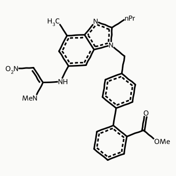 CCCc1nc2c(C)cc(NC(=C[N+](=O)[O-])NC)cc2n1Cc1ccc(-c2ccccc2C(=O)OC)cc1